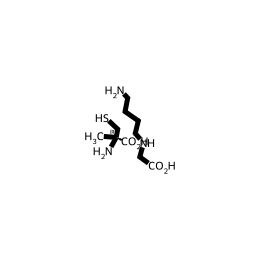 C[C@](N)(CS)C(=O)O.NCCCCNCC(=O)O